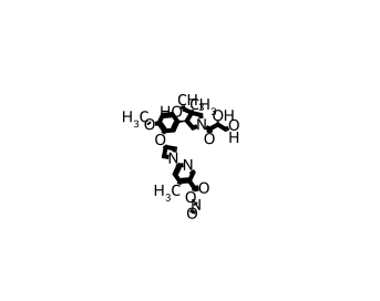 COc1ccc([C@@H]2CN(C(=O)[C@@H](O)CO)C[C@@]2(C)C(C)O)cc1OC1CN(c2cc(C)c(C(=O)ON=O)cn2)C1